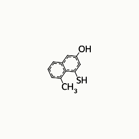 Cc1cccc2cc(O)cc(S)c12